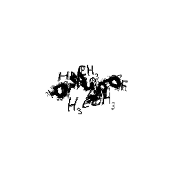 C[C@@H]1CN(CC(=O)N2CC(C)(C)c3ncc(Cc4ccc(F)cc4)cc32)[C@@H](CN2CCC(I)CC2)CN1